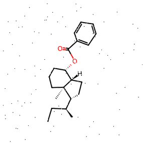 CC[C@H](C)[C@H]1CC[C@H]2[C@@H](OC(=O)c3ccccc3)CCC[C@]12C